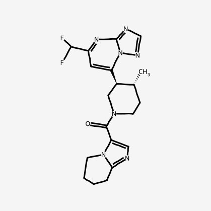 C[C@@H]1CCN(C(=O)c2cnc3n2CCCC3)C[C@H]1c1cc(C(F)F)nc2ncnn12